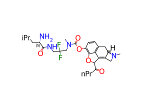 CCCC(=O)C1Oc2c(OC(=O)N(C)CC(F)(F)CNC(=O)[C@@H](N)CC(C)C)ccc3c2C1=C1CN(C)[C@@H]1C3